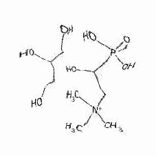 C[N+](C)(C)CC(O)P(=O)(O)O.OCC(O)CO